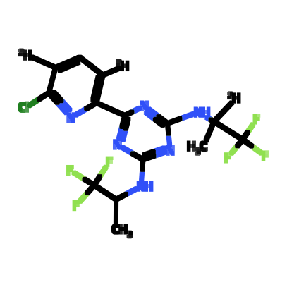 [2H]c1cc([2H])c(-c2nc(NC(C)C(F)(F)F)nc(NC([2H])(C)C(F)(F)F)n2)nc1Cl